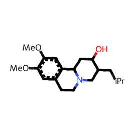 COc1cc2c(cc1O[11CH3])CCN1CC(CC(C)C)C(O)CC21